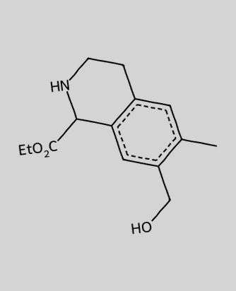 CCOC(=O)C1NCCc2cc(C)c(CO)cc21